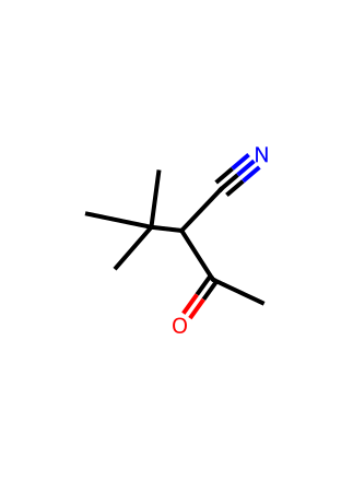 CC(=O)C(C#N)C(C)(C)C